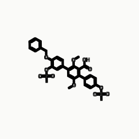 COc1cc(-c2ccc(OCc3ccccc3)c(OS(C)(=O)=O)c2)c(OC)c(C(=O)O)c1-c1ccc(OS(C)(=O)=O)cc1